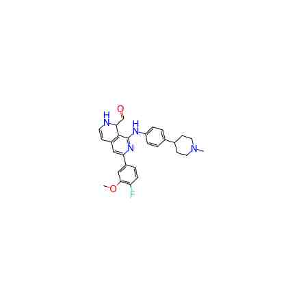 COc1cc(-c2cc3c(c(Nc4ccc(C5CCN(C)CC5)cc4)n2)C(C=O)NC=C3)ccc1F